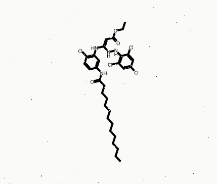 CCCCCCCCCCCCCC(=O)Nc1ccc(Cl)c(NC(=CC(=O)OCC)NNc2c(Cl)cc(Cl)cc2Cl)c1